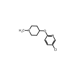 CN1CCC(Oc2ccc(Cl)cn2)CC1